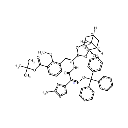 COc1c(C[C@H](NC(=O)/C(=N\OC(c2ccccc2)(c2ccccc2)c2ccccc2)c2csc(N)n2)B2OC3C[C@H]4C[C@@H](C4(C)C)[C@]3(C)O2)cccc1C(=O)OC(C)(C)C